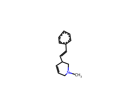 CN1CC=CC(C=Cc2ccccc2)C1